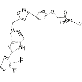 O=C(COc1ccc(-c2cc(CN3Cc4nc(-c5cccc(F)c5F)[nH]c4C=N3)on2)cc1)NC1CC1